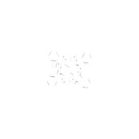 c1ccc2c(c1)NC(=C(C(=C1N=c3ccccc3=N1)c1nc3ccccc3[nH]1)c1nc3ccccc3[nH]1)N2